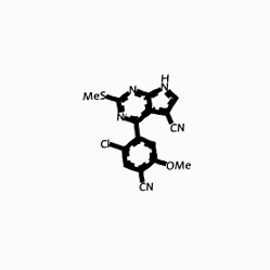 COc1cc(-c2nc(SC)nc3[nH]cc(C#N)c23)c(Cl)cc1C#N